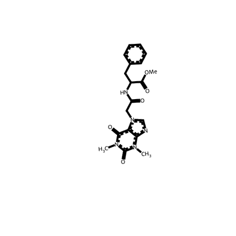 COC(=O)C(Cc1ccccc1)NC(=O)Cn1cnc2c1c(=O)n(C)c(=O)n2C